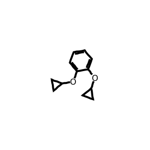 c1ccc(OC2CC2)c(OC2CC2)c1